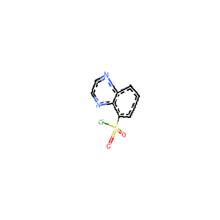 O=S(=O)(Cl)c1cccc2nccnc12